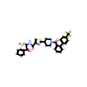 C[C@@H](NC(=O)c1csc(C2CCN(C(=O)c3ccccc3-c3ccc(C(F)(F)F)cc3)CC2)n1)C(=O)c1ccccc1